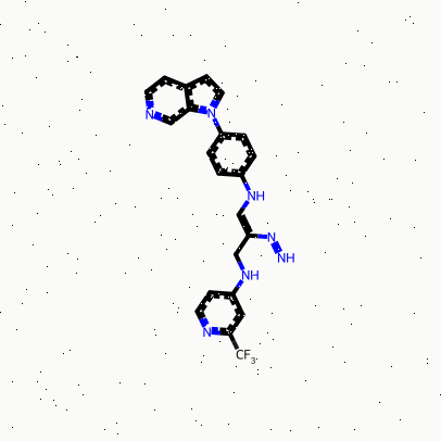 N=N/C(=C\Nc1ccc(-n2ccc3ccncc32)cc1)CNc1ccnc(C(F)(F)F)c1